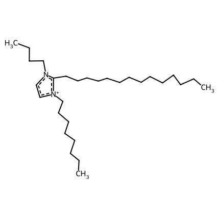 CCCCCCCCCCCCCCc1n(CCCC)cc[n+]1CCCCCCCC